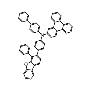 c1ccc(-c2ccc(N(c3ccc(-c4ccc5c(oc6ccccc65)c4-c4ccccc4)cc3)c3ccc4c5ccccc5c5ccccc5c4c3)cc2)cc1